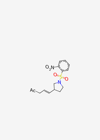 CC(=O)CC=CC1CCN(S(=O)(=O)c2ccccc2[N+](=O)[O-])C1